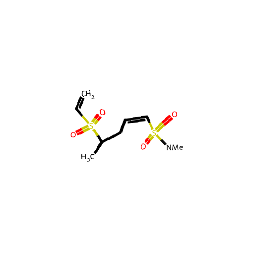 C=CS(=O)(=O)C(C)C/C=C\S(=O)(=O)NC